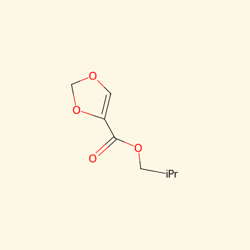 CC(C)COC(=O)C1=COCO1